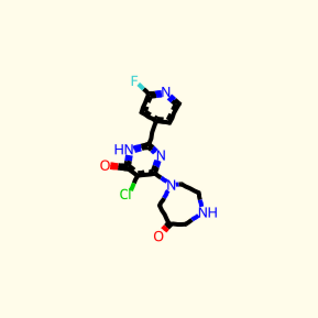 O=C1CNCCN(c2nc(-c3ccnc(F)c3)[nH]c(=O)c2Cl)C1